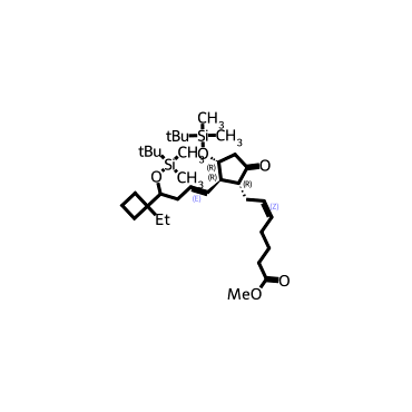 CCC1(C(C/C=C/[C@H]2[C@H](O[Si](C)(C)C(C)(C)C)CC(=O)[C@@H]2C/C=C\CCCC(=O)OC)O[Si](C)(C)C(C)(C)C)CCC1